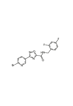 O=C(NCc1ccc(F)cc1F)c1nc(-c2ccc(Br)nc2)no1